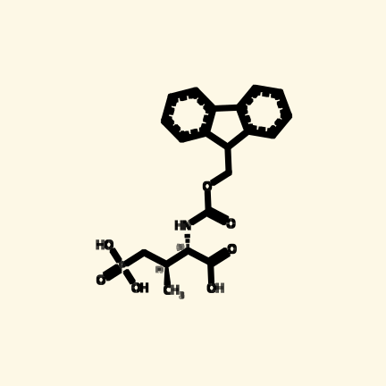 C[C@@H](CP(=O)(O)O)[C@H](NC(=O)OCC1c2ccccc2-c2ccccc21)C(=O)O